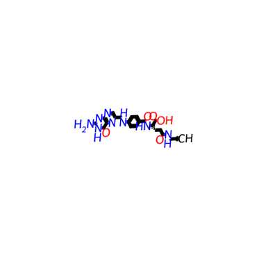 C#CCNC(=O)CC[C@H](NC(=O)c1ccc(NCc2cnc3nc(N)[nH]c(=O)c3n2)cc1)C(=O)O